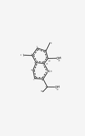 Cc1cc(I)c2ccc(C(C)O)nc2c1O